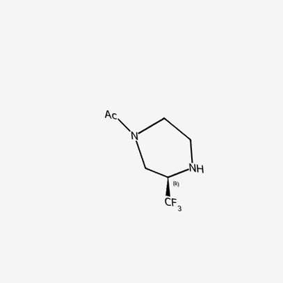 CC(=O)N1CCN[C@@H](C(F)(F)F)C1